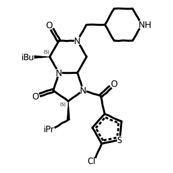 CCC(C)[C@H]1C(=O)N(CC2CCNCC2)CC2N1C(=O)[C@H](CC(C)C)N2C(=O)c1csc(Cl)c1